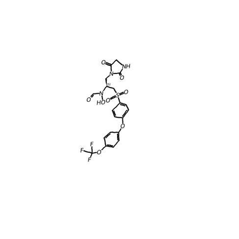 O=CN(O)[C@@H](CN1C(=O)CNC1=O)CS(=O)(=O)c1ccc(Oc2ccc(OC(F)(F)F)cc2)cc1